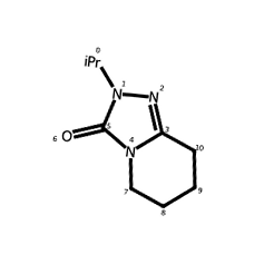 CC(C)n1nc2n(c1=O)CCCC2